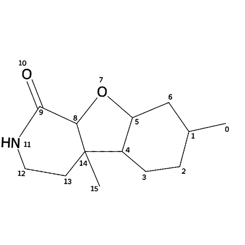 CC1CCC2C(C1)OC1C(=O)NCCC12C